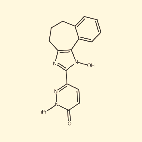 CC(C)n1nc(-c2nc3c(n2O)-c2ccccc2CCC3)ccc1=O